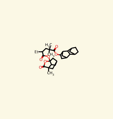 CCC(CC(C)(C)C(=O)OC1CC2CC1C1C3CCC(C3)C21)C(=O)OC12CC3CC1C(C)(C3)C(=O)O2